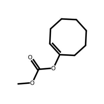 COC(=O)O/C1=C/CCCCCC1